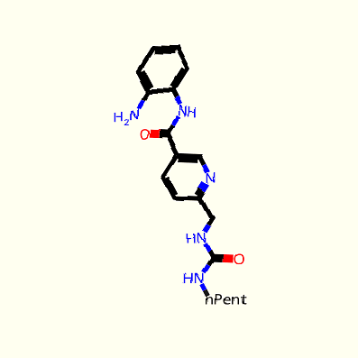 CCCCCNC(=O)NCc1ccc(C(=O)Nc2ccccc2N)cn1